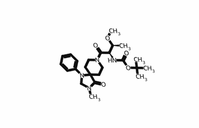 CO[C@@H](C)[C@@H](NC(=O)OC(C)(C)C)C(=O)N1CCC2(CC1)C(=O)N(C)CN2c1ccccc1